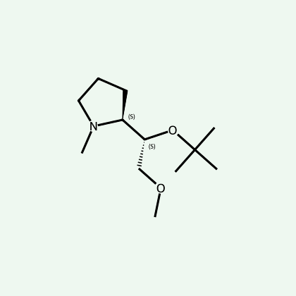 COC[C@@H](OC(C)(C)C)[C@@H]1CCCN1C